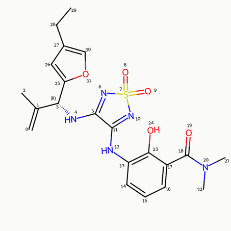 C=C(C)[C@@H](NC1=NS(=O)(=O)N=C1Nc1cccc(C(=O)N(C)C)c1O)c1cc(CC)co1